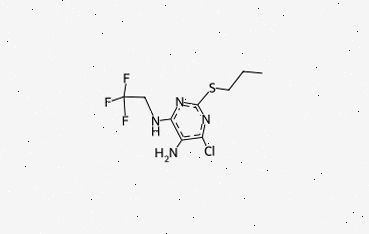 CCCSc1nc(Cl)c(N)c(NCC(F)(F)F)n1